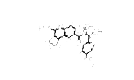 C[C@@H](c1ccc(C(F)(F)F)cn1)N(C)C(=O)c1ccc2nc(N)c3c(c2c1)COC3